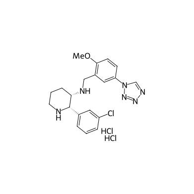 COc1ccc(-n2cnnn2)cc1CN[C@H]1CCCN[C@H]1c1cccc(Cl)c1.Cl.Cl